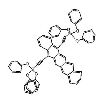 C(#C[Si](Oc1ccccc1)(Oc1ccccc1)Oc1ccccc1)c1c2ccccc2c(C#C[Si](Oc2ccccc2)(Oc2ccccc2)Oc2ccccc2)c2cc3cc4ccccc4cc3cc12